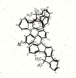 CC1(C)c2ccccc2-c2ccc3c(c21)c1ccccc1n3-c1ccc(-c2ccc(C(F)(F)F)cc2C#N)cc1-c1ccc(C#N)cc1-n1c2ccccc2c2c3c(ccc21)-c1ccccc1C3(C)C